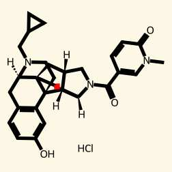 Cl.Cn1cc(C(=O)N2C[C@H]3C[C@@]45CC[C@@H]2[C@@H]3[C@@]42CCN(CC3CC3)[C@@H]5Cc3ccc(O)cc32)ccc1=O